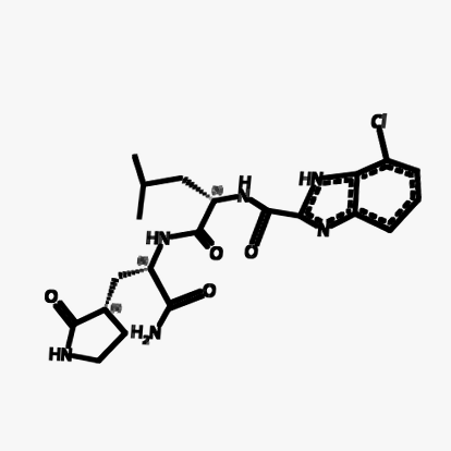 CC(C)C[C@H](NC(=O)c1nc2cccc(Cl)c2[nH]1)C(=O)N[C@@H](C[C@@H]1CCNC1=O)C(N)=O